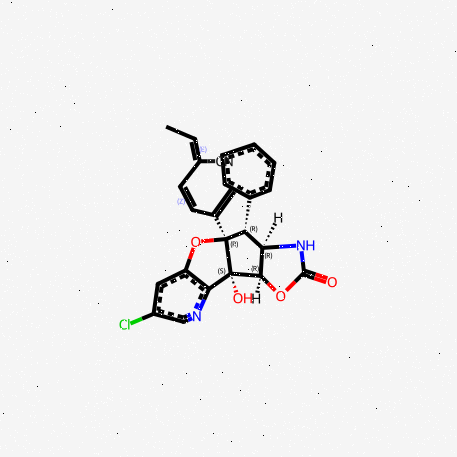 C=C(/C=C\C(C#N)=C/C)[C@@]12Oc3cc(Cl)cnc3[C@]1(O)[C@@H]1OC(=O)N[C@@H]1[C@H]2c1ccccc1